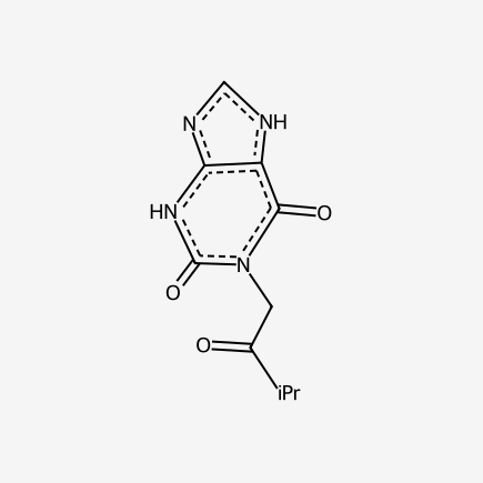 CC(C)C(=O)Cn1c(=O)[nH]c2nc[nH]c2c1=O